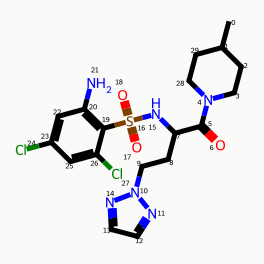 CC1CCN(C(=O)C(CCn2nccn2)NS(=O)(=O)c2c(N)cc(Cl)cc2Cl)CC1